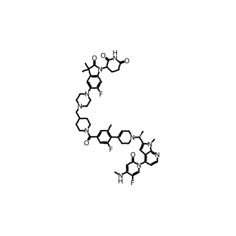 CNc1cc(=O)n(-c2ccnc3c2cc([C@H](C)N2CC=C(c4c(C)cc(C(=O)N5CCC(CN6CCN(c7cc8c(cc7F)N(C7CCC(=O)NC7=O)C(=O)C8(C)C)CC6)CC5)cc4F)CC2)n3C)cc1F